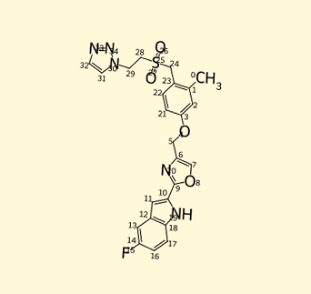 Cc1cc(OCc2coc(-c3cc4cc(F)ccc4[nH]3)n2)ccc1CS(=O)(=O)CCn1ccnn1